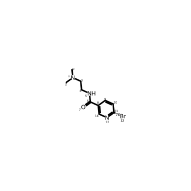 CN(C)CCNC(=O)c1ccc([76Br])nc1